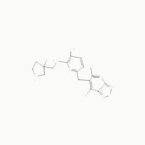 Cc1nc2nonc2c(N)c1Cc1ccc(C#N)c(NCC2(C)CCOC2)n1